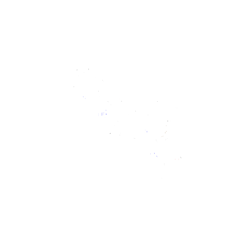 CC(C)(C)OC(=O)NC1=N[C@@]2(c3cc(NC(=O)c4ccc(F)cn4)ccc3F)OCC[C@H]2CS1